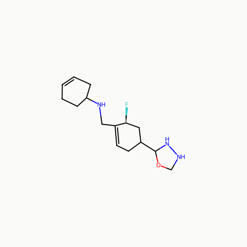 F[C@H]1CC(C2NNCO2)CC=C1CNC1CC=CCC1